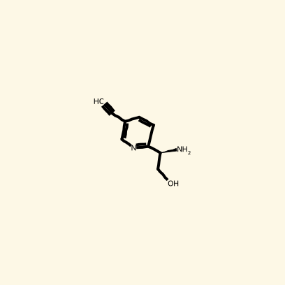 C#Cc1ccc([C@@H](N)CO)nc1